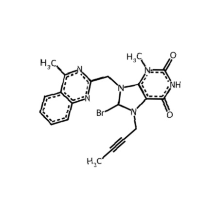 CC#CCN1c2c(n(C)c(=O)[nH]c2=O)N(Cc2nc(C)c3ccccc3n2)C1Br